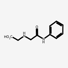 O=C(O)CNCC(=O)Nc1ccccc1